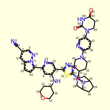 N#Cc1cnn2c(-c3cc(NC4CCOCC4)c(-c4nnc(N5CC6CCC(C5)N6CC5CCN(c6ccc(N7CCC(=O)NC7=O)cn6)CC5)s4)cn3)ccc2c1